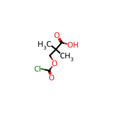 CC(C)(COC(=O)Cl)C(=O)O